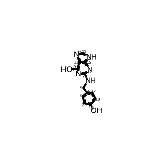 Oc1ccc(CNc2nc(O)c3nc[nH]c3n2)cc1